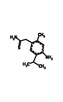 Cc1cc(N)c(C(C)C)cc1CC(N)=S